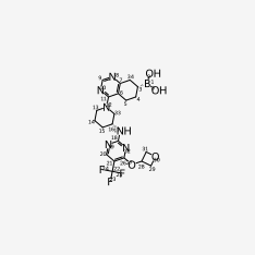 OB(O)[C@@H]1CCc2c(ncnc2N2CCC[C@@H](Nc3ncc(C(F)(F)F)c(OC4COC4)n3)C2)C1